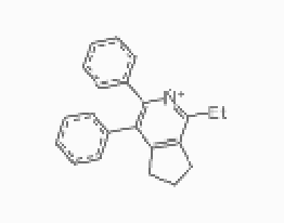 CCC1=[N+]C(c2ccccc2)=C(c2ccccc2)C2=C1CCC2